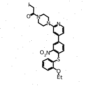 CCOc1ccccc1Sc1ccc(-c2ccnc(N3CCN(C(=O)CI)CC3)c2)cc1[N+](=O)[O-]